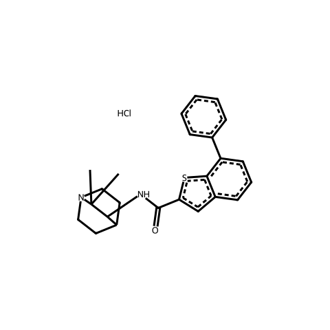 CC1(C)C(NC(=O)c2cc3cccc(-c4ccccc4)c3s2)C2CCN1CC2.Cl